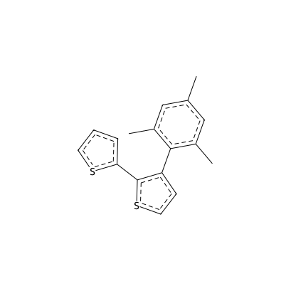 Cc1cc(C)c(-c2ccsc2-c2cccs2)c(C)c1